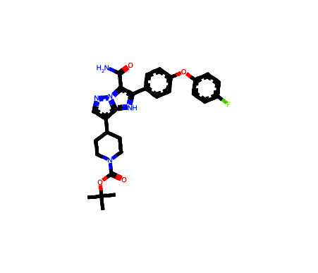 CC(C)(C)OC(=O)N1CCC(c2cnn3c(C(N)=O)c(-c4ccc(Oc5ccc(F)cc5)cc4)[nH]c23)CC1